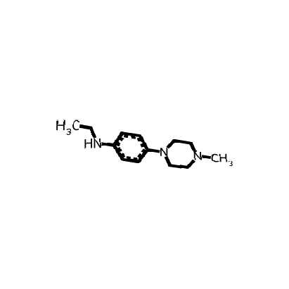 CCNc1ccc(N2CCN(C)CC2)cc1